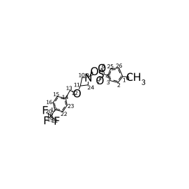 Cc1ccc(S(=O)(=O)ON2CC(OCc3ccc(C(F)(F)F)cc3)C2)cc1